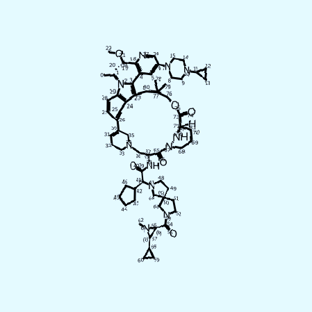 CCn1c(-c2cc(N3CCN(C4CC4)CC3)cnc2[C@H](C)OC)c2c3cc(ccc31)C1=CCCN(C1)C[C@H](NC(=O)[C@H](C1CCCC1)N1CC[C@]3(CCN(C(=O)[C@H]4[C@@H](C5CC5)N4C)C3)C1)C(=O)N1CCC[C@H](N1)C(=O)OCC(C)(C)C2